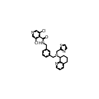 O=C(NCc1cccc(CN(Cc2nccs2)C2CCCc3cccnc32)c1)c1c(Cl)cncc1Cl